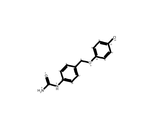 NC(=O)Nc1ccc(COc2ccc(Cl)cc2)cc1